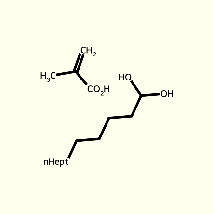 C=C(C)C(=O)O.CCCCCCCCCCCC(O)O